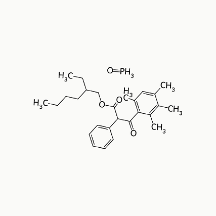 CCCCC(CC)COC(=O)C(C(=O)c1c(C)cc(C)c(C)c1C)c1ccccc1.O=[PH3]